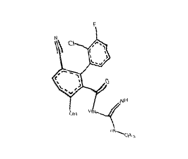 CNC(=N)NC(=O)c1c(O)ccc(C#N)c1-c1cccc(F)c1Cl